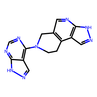 c1nc(N2CCc3c(cnc4[nH]ncc34)C2)c2cn[nH]c2n1